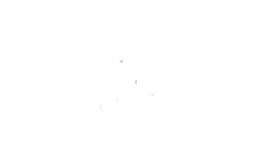 C#Cc1[c]ccc2ccccc12